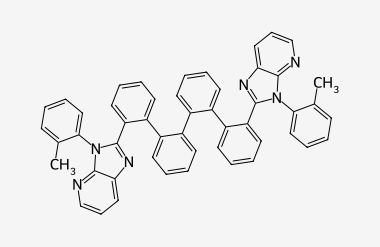 Cc1ccccc1-n1c(-c2ccccc2-c2ccccc2-c2ccccc2-c2ccccc2-c2nc3cccnc3n2-c2ccccc2C)nc2cccnc21